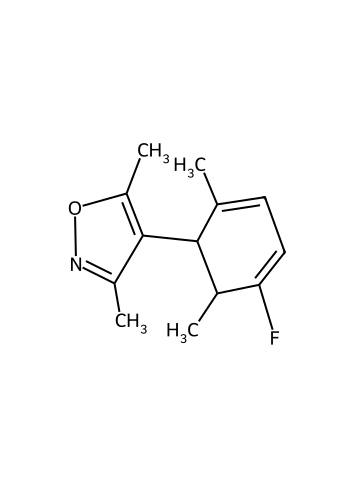 CC1=CC=C(F)C(C)C1c1c(C)noc1C